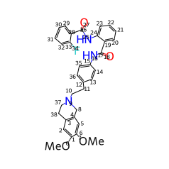 COc1cc2c(cc1OC)CN(CCc1ccc(NC(=O)c3ccccc3NC(=O)c3ccccc3F)cc1)CC2